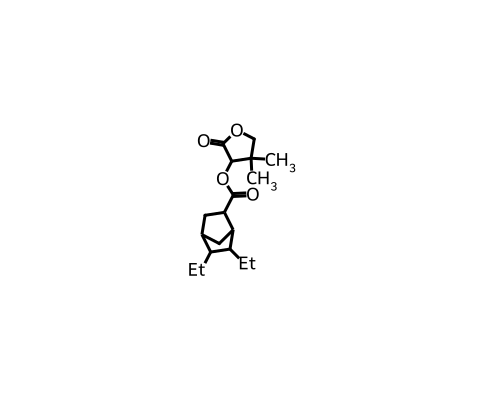 CCC1C2CC(C(=O)OC3C(=O)OCC3(C)C)C(C2)C1CC